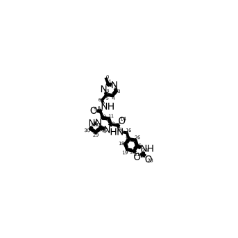 Cc1nccc(CNC(=O)c2cc(C(=O)NCc3ccc4oc(=O)[nH]c4c3)nc3ccnn23)n1